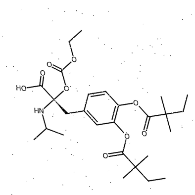 CCOC(=O)O[C@](Cc1ccc(OC(=O)C(C)(C)CC)c(OC(=O)C(C)(C)CC)c1)(NC(C)C)C(=O)O